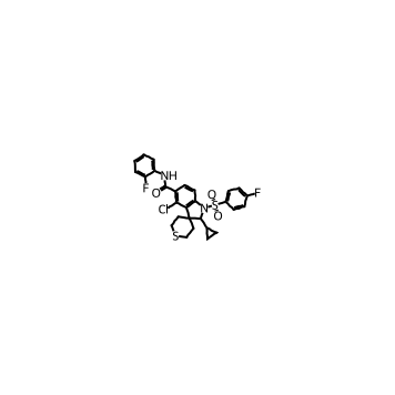 O=C(Nc1ccccc1F)c1ccc2c(c1Cl)C1(CCSCC1)C(C1CC1)N2S(=O)(=O)c1ccc(F)cc1